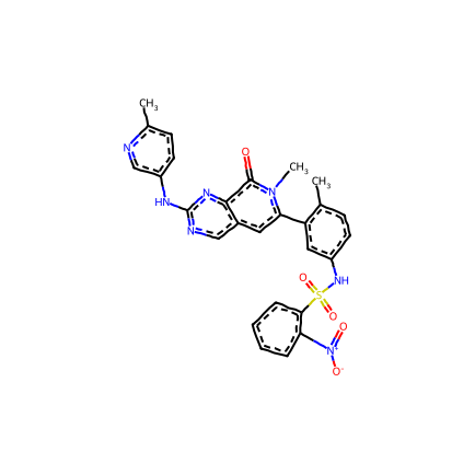 Cc1ccc(Nc2ncc3cc(-c4cc(NS(=O)(=O)c5ccccc5[N+](=O)[O-])ccc4C)n(C)c(=O)c3n2)cn1